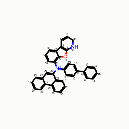 C1=Cc2c(oc3c(N(c4ccc(-c5ccccc5)cc4)c4cc5ccccc5c5ccccc45)cccc23)NC1